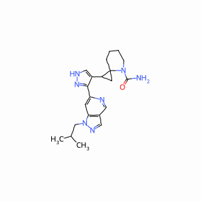 CC(C)Cn1ncc2cnc(-c3n[nH]cc3C3CC34CCCCN4C(N)=O)cc21